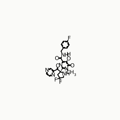 Cn1c([C@]2(C(=O)c3cnccn3)CC(F)(F)CN2)nc(C(=O)NCc2ccc(F)cc2)c(O)c1=O